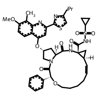 COc1ccc2c(O[C@@H]3C[C@H]4C(=O)N[C@]5(C(=O)NS(=O)(=O)C6CC6)C[C@H]5/C=C\CCCCO[C@H](c5ccccc5)C(=O)N4C3)cc(-c3nc(C(C)C)cs3)nc2c1C